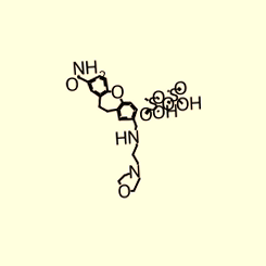 CS(=O)(=O)O.CS(=O)(=O)O.NC(=O)c1ccc2c(c1)CCc1cc(CNCCCN3CCOCC3)ccc1O2